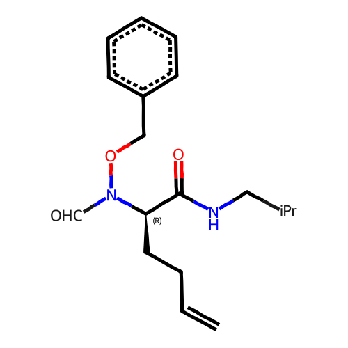 C=CCC[C@H](C(=O)NCC(C)C)N(C=O)OCc1ccccc1